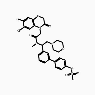 CN(C(=O)CN1C(=O)COc2cc(Cl)c(Cl)cc21)C(CN1CCOCC1)c1cccc(-c2ccc(NS(C)(=O)=O)cc2)c1